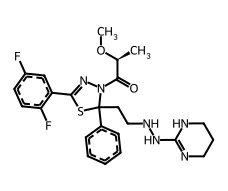 CO[C@@H](C)C(=O)N1N=C(c2cc(F)ccc2F)SC1(CCNNC1=NCCCN1)c1ccccc1